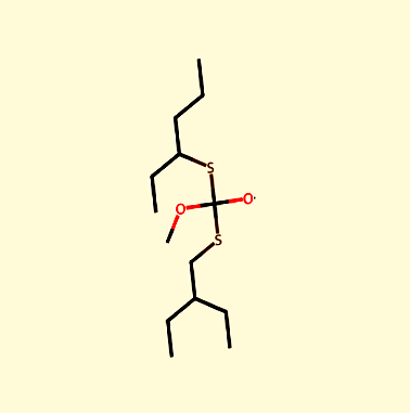 CCCC(CC)SC([O])(OC)SCC(CC)CC